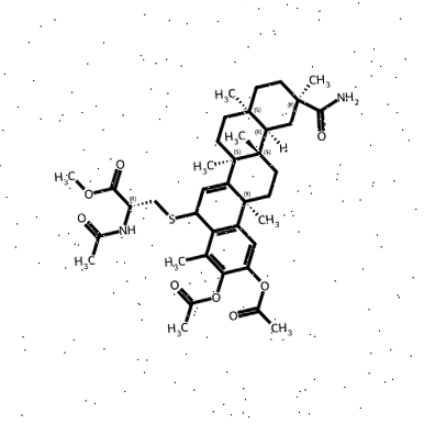 COC(=O)[C@H](CSC1C=C2[C@@](C)(CC[C@@]3(C)[C@@H]4C[C@](C)(C(N)=O)CC[C@]4(C)CC[C@]23C)c2cc(OC(C)=O)c(OC(C)=O)c(C)c21)NC(C)=O